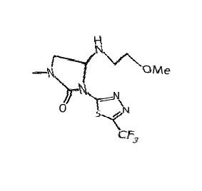 COCCNC1CN(C)C(=O)N1c1nnc(C(F)(F)F)s1